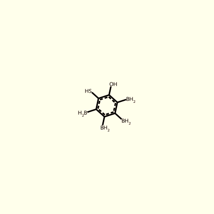 Bc1c(B)c(B)c(S)c(O)c1B